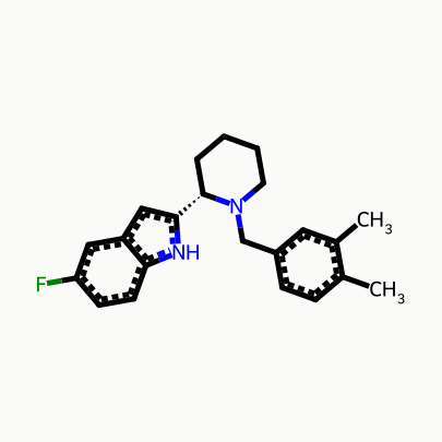 Cc1ccc(CN2CCCC[C@H]2c2cc3cc(F)ccc3[nH]2)cc1C